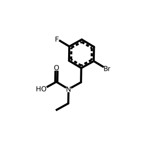 CCN(Cc1cc(F)ccc1Br)C(=O)O